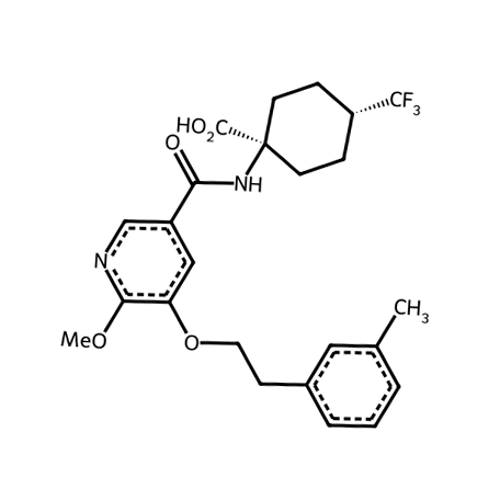 COc1ncc(C(=O)N[C@]2(C(=O)O)CC[C@@H](C(F)(F)F)CC2)cc1OCCc1cccc(C)c1